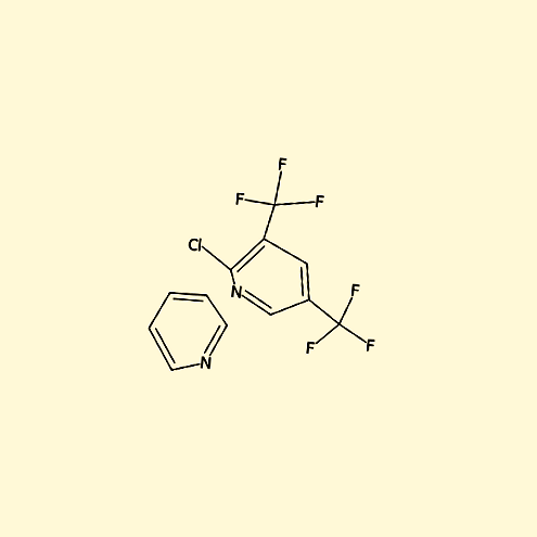 FC(F)(F)c1cnc(Cl)c(C(F)(F)F)c1.c1ccncc1